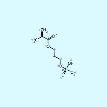 C=C(C)C(=O)OCCCOP(=O)(O)O